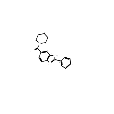 O=C(c1ccc2nc(-c3ccccc3)[nH]c2c1)N1CCCCC1